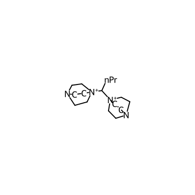 CCCC([N+]12CCN(CC1)CC2)[N+]12CCN(CC1)CC2